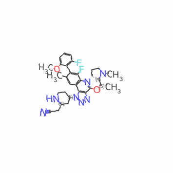 COc1cccc(F)c1-c1c(C)cc2c(nc(O[C@@H](C)[C@@H]3CCCN3C)c3nnn([C@H]4CCN[C@H](CC#N)C4)c32)c1F